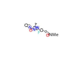 CNC(=O)CC1CC(c2ccc(-c3cc4nc(C(=O)N5CCc6ccccc6[C@H]5C)cc(C5CC5)n4n3)c(F)c2)C1